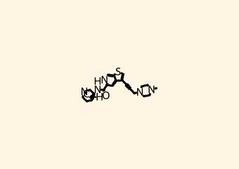 CN1CCN(CC#Cc2csc3cnc(C(=O)N[C@H]4CN5CCC4CC5)cc23)CC1